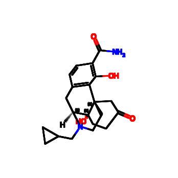 NC(=O)c1ccc2c(c1O)[C@@]13CCN(CC4CC4)[C@@H](C2)[C@@]1(O)CCC(=O)C3